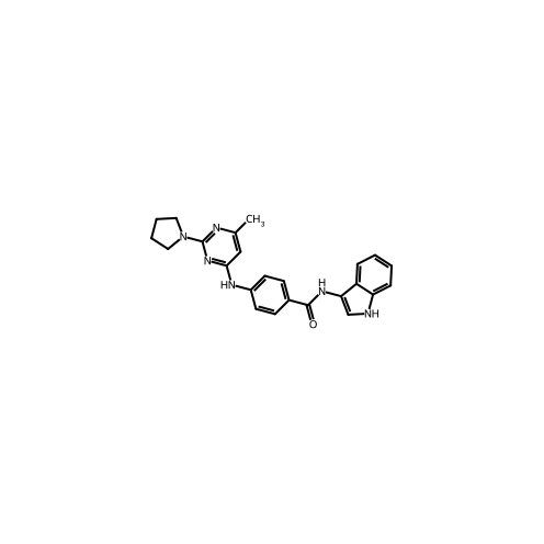 Cc1cc(Nc2ccc(C(=O)Nc3c[nH]c4ccccc34)cc2)nc(N2CCCC2)n1